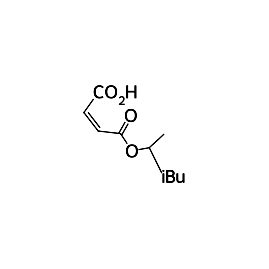 CCC(C)C(C)OC(=O)/C=C\C(=O)O